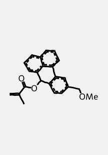 C=C(C)C(=O)OC1c2ccc(COC)cc2-c2cccc3cccc1c23